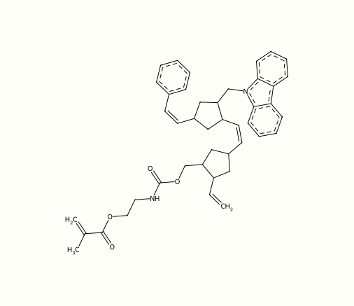 C=CC1CC(/C=C\C2CC(/C=C\c3ccccc3)CC2Cn2c3ccccc3c3ccccc32)CC1COC(=O)NCCOC(=O)C(=C)C